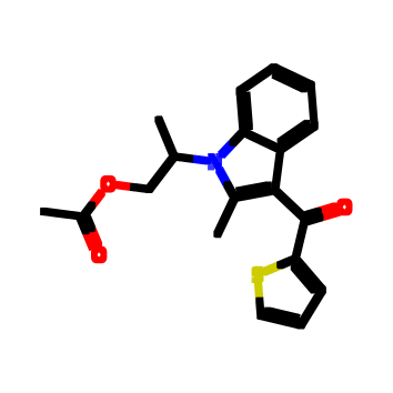 CC(=O)OCC(C)n1c(C)c(C(=O)c2cccs2)c2ccccc21